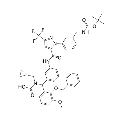 COc1cccc(C(c2cccc(NC(=O)c3cc(C(F)(F)F)nn3-c3cccc(CNC(=O)OC(C)(C)C)c3)c2)N(CC2CC2)C(=O)O)c1OCc1ccccc1